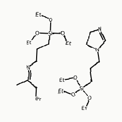 CCO[Si](CCCN1C=NCC1)(OCC)OCC.CCO[Si](CCCN=C(C)CC(C)C)(OCC)OCC